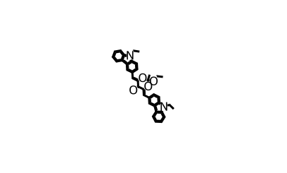 CCOC1(C)O/C(=C\c2ccc3c(c2)c2ccccc2n3CC)C(=O)/C(=C/c2ccc3c(c2)c2ccccc2n3CC)O1